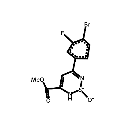 COC(=O)C1=CC(c2ccc(Br)c(F)c2)=N[S+]([O-])N1